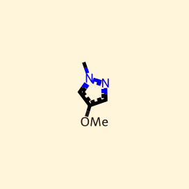 COc1cnn(C)c1